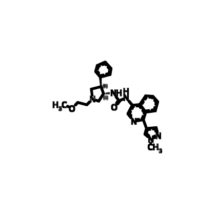 COCCN1C[C@@H](NC(=O)Nc2cnc(-c3cnn(C)c3)c3ccccc23)[C@H](c2ccccc2)C1